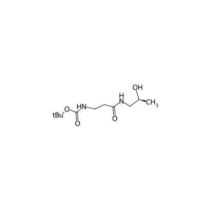 C[C@H](O)CNC(=O)CCNC(=O)OC(C)(C)C